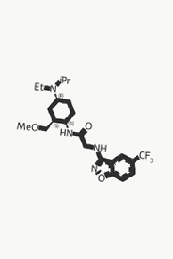 CCN(C(C)C)[C@@H]1CC[C@H](NC(=O)CNc2noc3ccc(C(F)(F)F)cc23)[C@@H](COC)C1